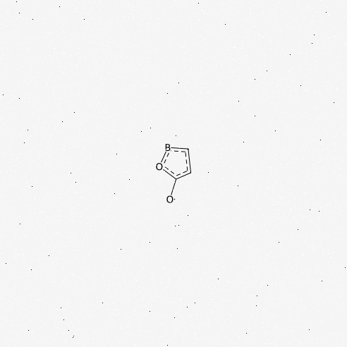 [O]c1ccbo1